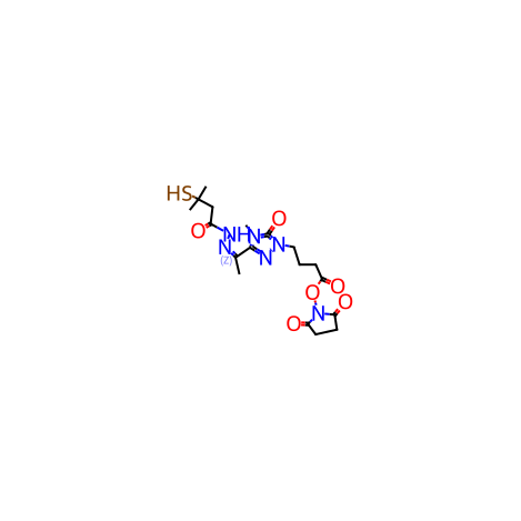 C/C(=N/NC(=O)CC(C)(C)S)c1nn(CCCC(=O)ON2C(=O)CCC2=O)c(=O)n1C